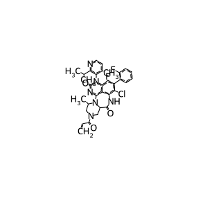 C=CC(=O)N1CC(C)N2c3nc(=O)n(-c4c(C)ccnc4C(C)C)c4c(F)c(-c5ccccc5F)c(Cl)c(c34)NC(=O)C2C1